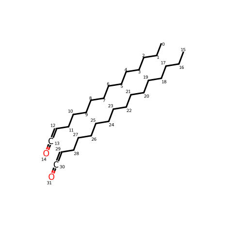 CCCCCCCCCCCCC=C=O.CCCCCCCCCCCCCCC=C=O